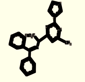 CCOC(=O)C(N=C(c1ccccc1)c1ccccc1)c1cc(C)nc(-n2ccnc2)n1